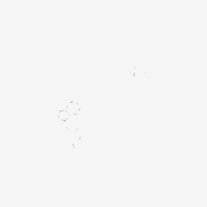 O=C1CCN(c2cnc3ccc(CCCCCCCCNC45CC6CC(CC(C6)C4)C5)cn23)C(=O)N1